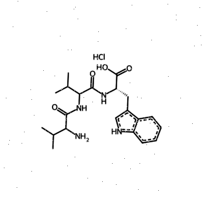 CC(C)C(N)C(=O)NC(C(=O)N[C@@H](Cc1c[nH]c2ccccc12)C(=O)O)C(C)C.Cl